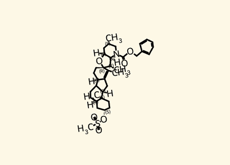 CC1=C2C[C@H]3C(CC[C@@H]4C[C@@H](OS(C)(=O)=O)CC[C@@]43C)[C@@H]2CC[C@]12O[C@@H]1C[C@H](C)CN(C(=O)OCc3ccccc3)[C@H]1[C@H]2C